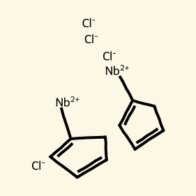 [Cl-].[Cl-].[Cl-].[Cl-].[Nb+2][C]1=CC=CC1.[Nb+2][C]1=CC=CC1